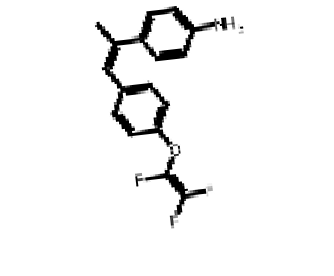 CC(=Cc1ccc(OC(F)=C(F)F)cc1)c1ccc(N)cc1